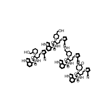 N#Cc1cccn1CCC(NS(=O)(=O)c1cccc2[nH]ccc12)C(=O)N1CCC(CO)CC1.N#Cc1cccn1CCC(NS(=O)(=O)c1cccc2[nH]ccc12)C(=O)N1CCCC(CO)C1.N#Cc1cccn1CCC(NS(=O)(=O)c1cccc2[nH]ccc12)C(=O)N1CCCCC1CO.N#Cc1cccn1CCC(NS(=O)(=O)c1cccc2[nH]ccc12)C(=O)N1CCNC(=O)CC1